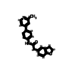 Cc1cc(-c2ccc(NC(=O)Cc3ccc4c(c3)CCO4)cc2)ccn1